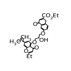 CCOC(=O)C1=CC(=O)c2cc(OCC(O)COc3cc(N(C)C)cc4oc(CC)cc(=O)c34)ccc2C1